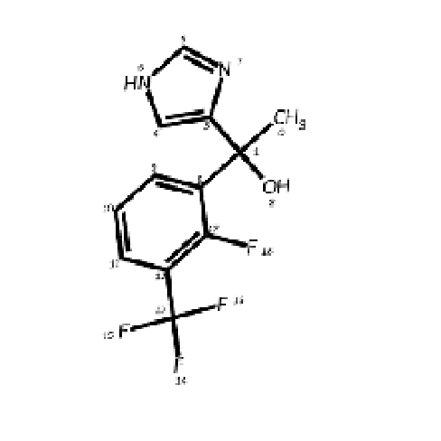 CC(O)(c1c[nH]cn1)c1cccc(C(F)(F)F)c1F